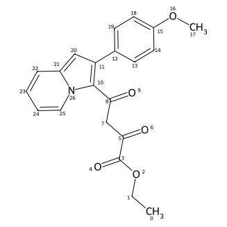 CCOC(=O)C(=O)CC(=O)c1c(-c2ccc(OC)cc2)cc2ccccn12